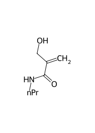 C=C(CO)C(=O)NCCC